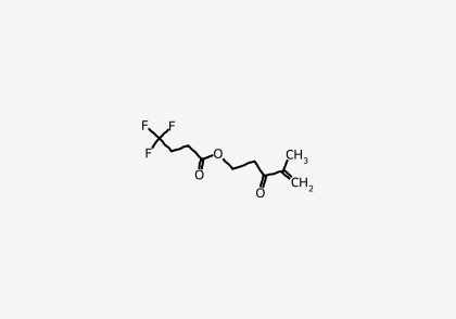 C=C(C)C(=O)CCOC(=O)CCC(F)(F)F